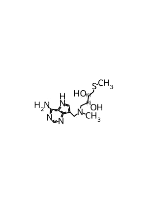 CSC[C@@H](O)[C@H](O)CN(C)Cc1c[nH]c2c(N)ncnc12